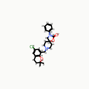 CC1(C)CCc2cc(Cl)cc(CN3CCC4(CC3)CN(c3ccccc3)C(=O)O4)c2O1